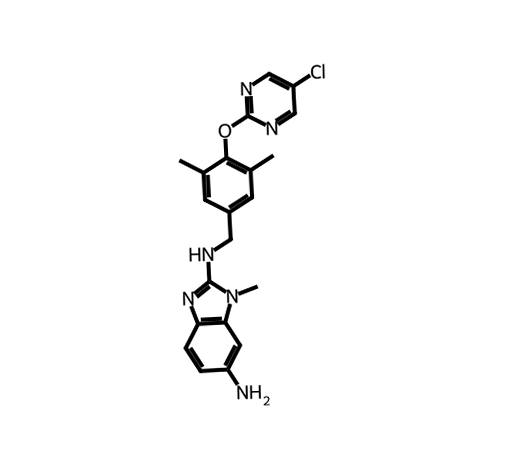 Cc1cc(CNc2nc3ccc(N)cc3n2C)cc(C)c1Oc1ncc(Cl)cn1